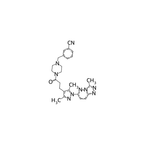 Cc1nn(-c2ccc3nnc(C)n3n2)c(C)c1CCC(=O)N1CCN(Cc2cccc(C#N)c2)CC1